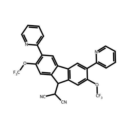 N#CC(C#N)C1c2cc(OC(F)(F)F)c(-c3ccccn3)cc2-c2cc(-c3ccccn3)c(OC(F)(F)F)cc21